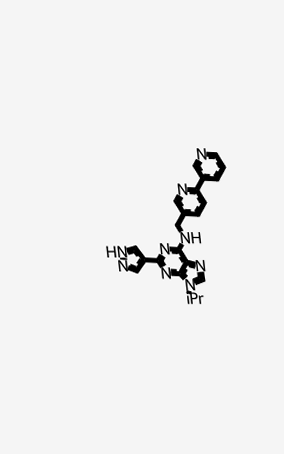 CC(C)n1cnc2c(NCc3ccc(-c4cccnc4)nc3)nc(-c3cn[nH]c3)nc21